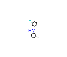 Cc1cccc(NCc2ccc(C)c(F)c2)c1